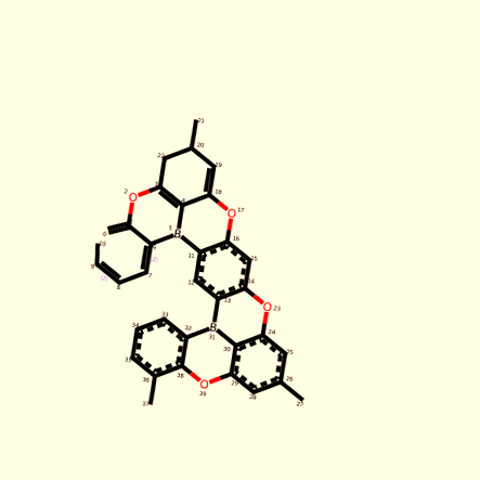 C=C1OC2=C3B(/C1=C/C=C\C)c1cc4c(cc1OC3=CC(C)C2)Oc1cc(C)cc2c1B4c1cccc(C)c1O2